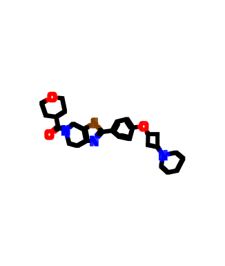 O=C(C1CCOCC1)N1CCc2nc(-c3ccc(OC4CC(N5CCCCC5)C4)cc3)sc2C1